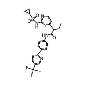 CCC(C(=O)Nc1ccc(-c2ccc(C(F)(F)F)cn2)cc1)c1ccnc(NS(=O)(=O)C2CC2)n1